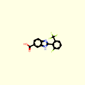 O=C(O)c1ccc2nc(-c3c(F)cccc3C(F)(F)F)[nH]c2c1